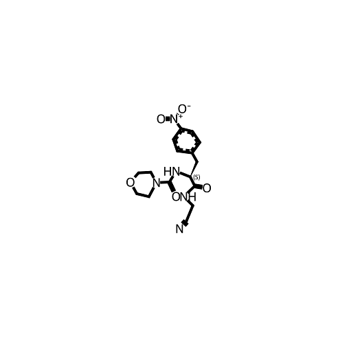 N#CCNC(=O)[C@H](Cc1ccc([N+](=O)[O-])cc1)NC(=O)N1CCOCC1